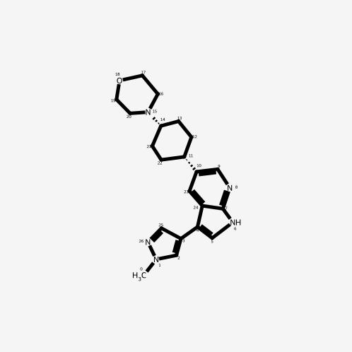 Cn1cc(-c2c[nH]c3ncc([C@H]4CC[C@@H](N5CCOCC5)CC4)cc23)cn1